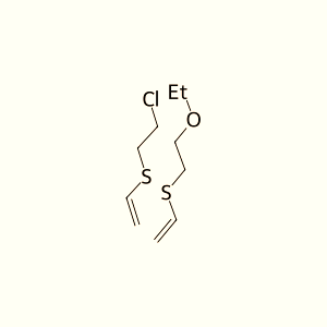 C=CSCCCl.C=CSCCOCC